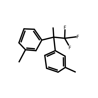 Cc1cccc(C(C)(c2cccc(C)c2)C(F)(F)F)c1